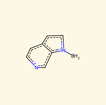 Bn1ccc2ccncc21